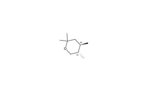 C[C@@H]1COC(C)(C)C[C@H]1C